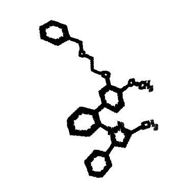 COc1ccc(-c2ccccc2-n2nc(C)cc2-c2ccccc2)cc1OCCOCc1ccccc1